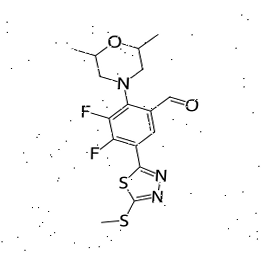 CSc1nnc(-c2cc(C=O)c(N3CC(C)OC(C)C3)c(F)c2F)s1